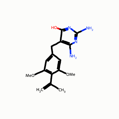 C=C(C)c1c(OC)cc(Cc2c(N)nc(N)nc2O)cc1OC